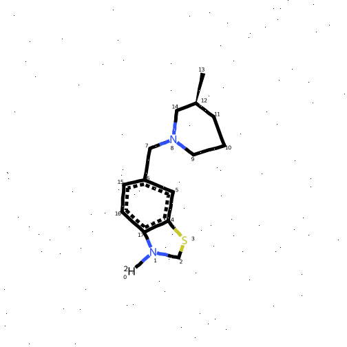 [2H]N1CSc2cc(CN3CCC[C@H](C)C3)ccc21